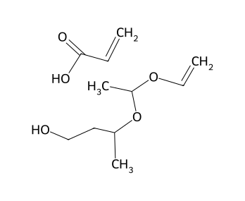 C=CC(=O)O.C=COC(C)OC(C)CCO